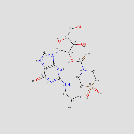 CC(C)CNc1nc2c(ncn2[C@@H]2O[C@H](CO)C(O)C2OC(=S)N2CCS(=O)(=O)CC2)c(=O)[nH]1